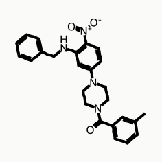 Cc1cccc(C(=O)N2CCN(c3ccc([N+](=O)[O-])c(NCc4ccccc4)c3)CC2)c1